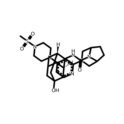 CS(=O)(=O)N1CCN(c2ccnc(N3CC4CCC(C3)N4C(=O)NC3[C@@H]4CC5C[C@H]3CC(O)(C5)C4)c2)CC1